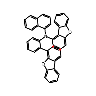 c1ccc(N(c2cccc3ccccc23)c2cccc3oc4ccccc4c23)c(-c2cccc3c2oc2ccccc23)c1